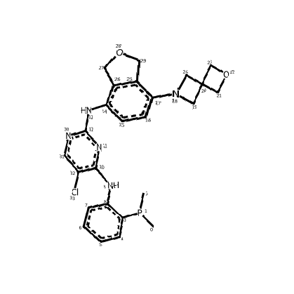 CP(C)c1ccccc1Nc1nc(Nc2ccc(N3CC4(COC4)C3)c3c2COC3)ncc1Cl